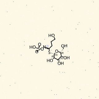 O=S(=O)(O)O/N=C(/CCCO)S[C@@H]1O[C@H](CO)[C@@H](O)[C@H](O)[C@H]1O